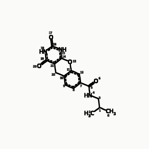 CC(C)CNC(=O)c1ccc2c(c1)Oc1[nH]c(=O)[nH]c(=O)c1C2